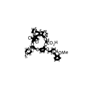 COc1ccccc1-c1nccc(COc2ccc3cc2C[C@H](C(=O)O)Oc2ncnc4sc(-c5nccs5)c(c24)-c2c(C)c(Cl)c(c(Cl)c2C)O[C@H](CN2CCN(C)CC2)CO3)n1